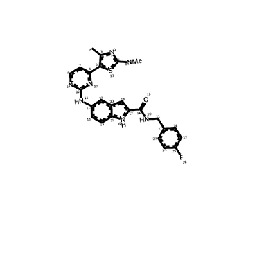 CNc1nc(C)c(-c2ccnc(Nc3ccc4[nH]c(C(=O)NCc5ccc(F)cc5)cc4c3)n2)s1